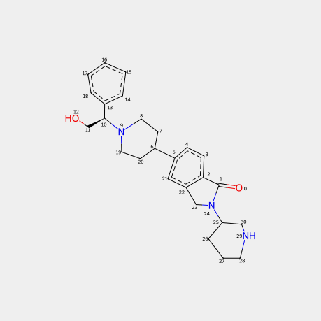 O=C1c2ccc(C3CCN([C@@H](CO)c4ccccc4)CC3)cc2CN1C1CCCNC1